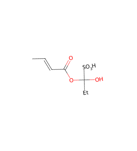 CC=CC(=O)OC(O)(CC)S(=O)(=O)O